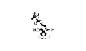 CCCN(CCOC(=O)O[C@H](C)C(C)(C)C)C(CO)(CO)CO